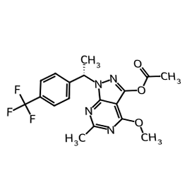 COc1nc(C)nc2c1c(OC(C)=O)nn2[C@@H](C)c1ccc(C(F)(F)F)cc1